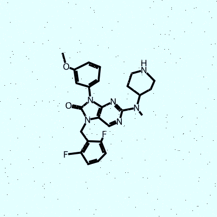 COc1cccc(-n2c(=O)n(Cc3c(F)cccc3F)c3cnc(N(C)C4CCNCC4)nc32)c1